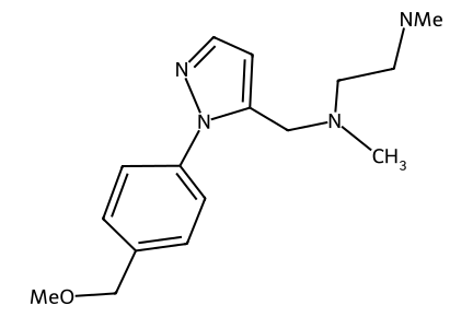 CNCCN(C)Cc1ccnn1-c1ccc(COC)cc1